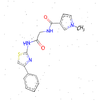 Cn1ccc(C(=O)NCC(=O)Nc2nc(-c3ccccc3)cs2)c1